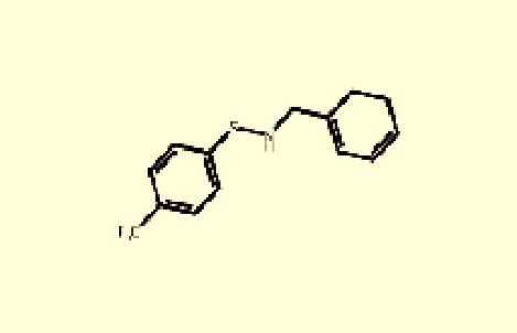 FC(F)(F)c1ccc(SNCC2=CC=CCC2)cc1